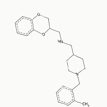 Cc1ccccc1CN1CCC(CNCC2COc3ccccc3O2)CC1